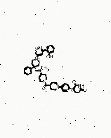 CN(CC1(c2ccccc2)CCN(c2cnnc(-c3ccccc3O)c2)CC1)C1CCN(C(=O)C2CCN(c3ccc([C@H]4CCC(=O)NC4=O)cc3)CC2)CC1